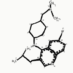 CC(C)Cc1cnc2ccc(Br)cc2c1NC1CCC(CN(C)C)CC1